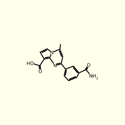 Cc1cc(-c2cccc(C(N)=O)c2)nc2c(C(=O)O)ccn12